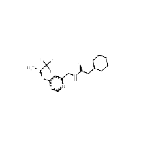 C[C@H](Oc1cc(CNC(=O)CC2CCCCC2)ncn1)C(F)(F)F